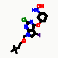 C[Si](C)(C)CCOCn1cc(I)c2c(Oc3cccc(NO)c3)nc(Cl)nc21